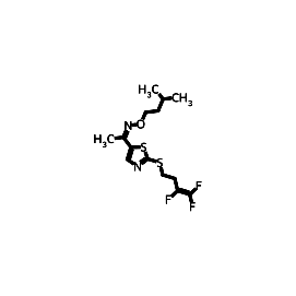 C/C(=N/OCCC(C)C)c1cnc(SCCC(F)=C(F)F)s1